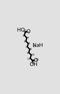 O=C(O)CCCCCCCCCC(=O)O.[NaH]